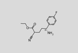 CCOC(=O)C(C#N)CC[C@@H](N)c1ccc(F)cc1